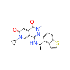 C[C@@H](Nc1nn(C)c(=O)c2cc(=O)n(C3CC3)cc12)c1cccc2sccc12